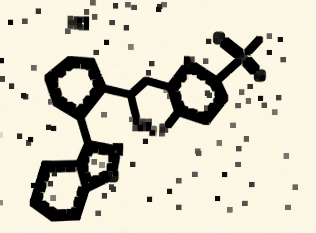 CS(=O)(=O)c1ccc(F)c(CC(N)c2ccccc2-c2noc3ccccc23)n1.Cl